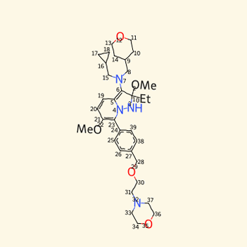 CCC1(OC)NN2C(=C1N(CC1CCOCC1)CC1CC1)C=CC(OC)=C2c1ccc(COCCN2CCOCC2)cc1